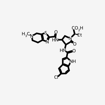 CC[C@H](C(=O)O)N1CC(NC(=O)c2nc3c(s2)CN(C)CC3)C(NC(=O)c2cc3cc(Cl)ccc3[nH]2)C1=O